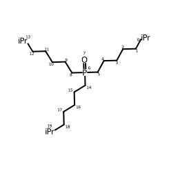 CC(C)CCCCCP(=O)(CCCCCC(C)C)CCCCCC(C)C